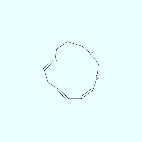 [C]1=C/C/C=C/C=C\CCCCCC/1